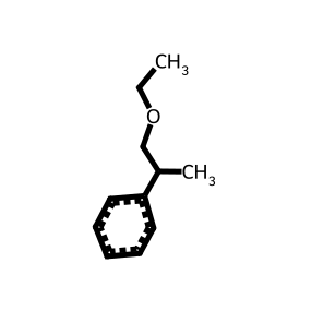 CCOCC(C)c1ccccc1